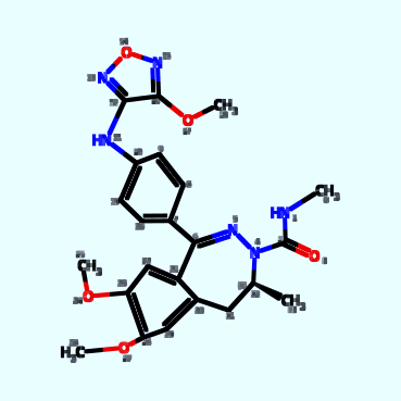 CNC(=O)N1N=C(c2ccc(Nc3nonc3OC)cc2)c2cc(OC)c(OC)cc2C[C@@H]1C